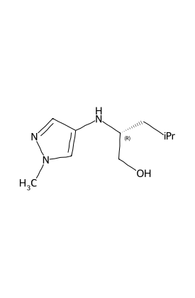 CC(C)C[C@H](CO)Nc1cnn(C)c1